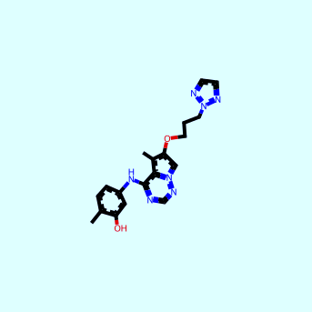 Cc1ccc(Nc2ncnn3cc(OCCCn4nccn4)c(C)c23)cc1O